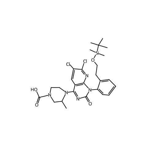 CC1CN(C(=O)O)CCN1c1nc(=O)n(-c2ccccc2CCO[Si](C)(C)C(C)(C)C)c2nc(Cl)c(Cl)cc12